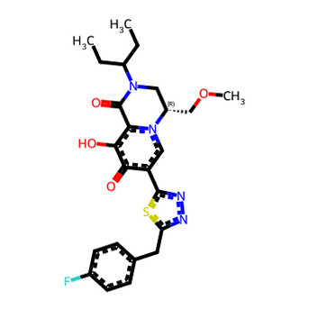 CCC(CC)N1C[C@H](COC)n2cc(-c3nnc(Cc4ccc(F)cc4)s3)c(=O)c(O)c2C1=O